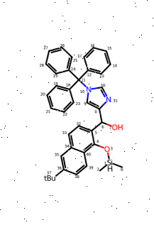 C[SiH](C)Oc1c(C(O)c2cn(C(c3ccccc3)(c3ccccc3)c3ccccc3)cn2)ccc2cc(C(C)(C)C)ccc12